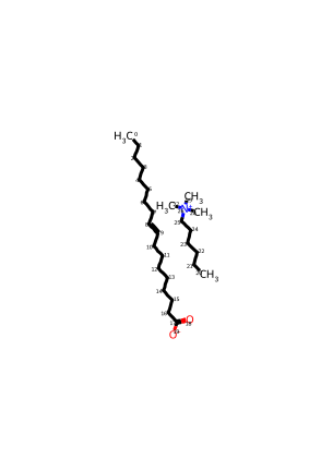 CCCCCCCCC=CCCCCCCCC(=O)[O-].CCCCCC[N+](C)(C)C